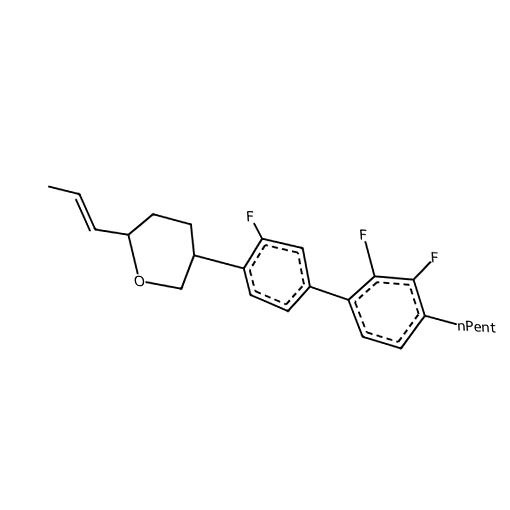 C/C=C/C1CCC(c2ccc(-c3ccc(CCCCC)c(F)c3F)cc2F)CO1